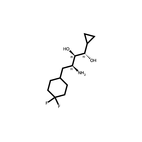 N[C@@H](CC1CCC(F)(F)CC1)[C@@H](O)[C@@H](O)C1CC1